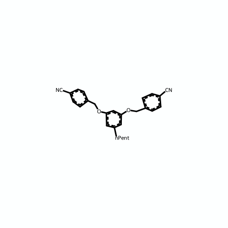 CCCCCc1cc(OCc2ccc(C#N)cc2)cc(OCc2ccc(C#N)cc2)c1